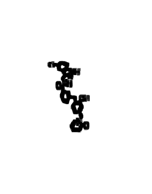 O=C(NCc1n[nH]c2ccc(Cl)cc12)c1cccc(Cc2ccc(Cn3ccccc3=O)cc2O)c1